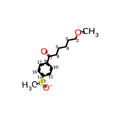 COCCCCCC(=O)c1ccc([S+](C)[O-])cc1